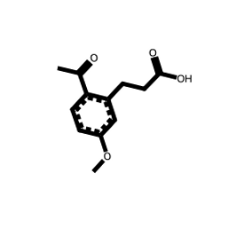 COc1ccc(C(C)=O)c(CCC(=O)O)c1